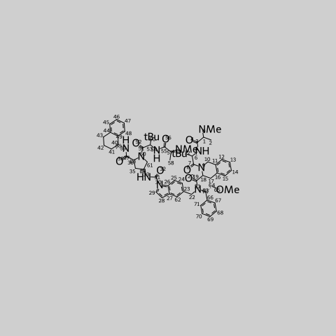 CNC(C)C(=O)NC(C(=O)N1Cc2ccccc2CC1C(=O)N(Cc1ccc2c(ccn2C(=O)N[C@H]2C[C@@H](C(=O)N[C@@H]3CCCc4ccccc43)N(C(=O)C(NC(=O)C(C)NC)C(C)(C)C)C2)c1)[C@H](COC)c1ccccc1)C(C)(C)C